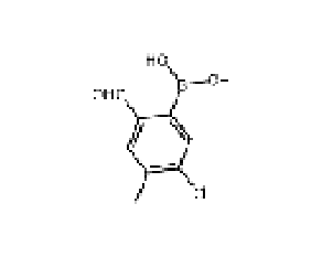 Cc1cc(C=O)c(B(O)O)cc1Cl